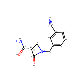 N#Cc1cccc(CN2C[C@@H](C(N)=O)C2=O)c1